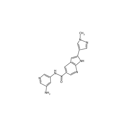 Cn1cc(-c2cc3cc(C(=O)Nc4cncc(N)c4)cnc3[nH]2)cn1